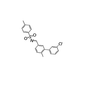 Cc1ccc(S(=O)(=O)N=Cc2ccc(C)c(-c3cccc(Cl)c3)c2)cc1